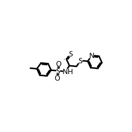 Cc1ccc(S(=O)(=O)NC([C]=S)CSc2ccccn2)cc1